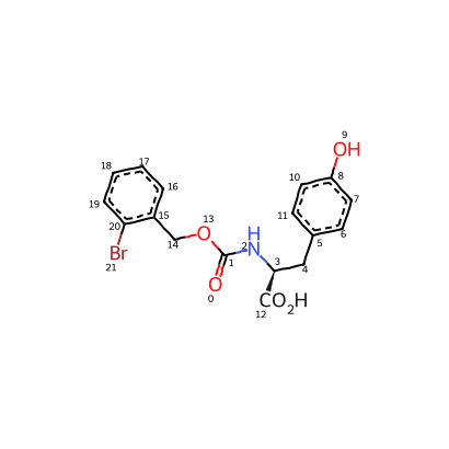 O=C(N[C@@H](Cc1ccc(O)cc1)C(=O)O)OCc1ccccc1Br